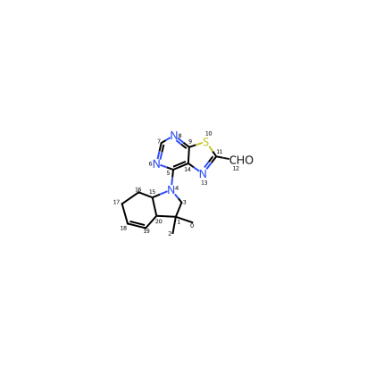 CC1(C)CN(c2ncnc3sc(C=O)nc23)C2CCC=CC21